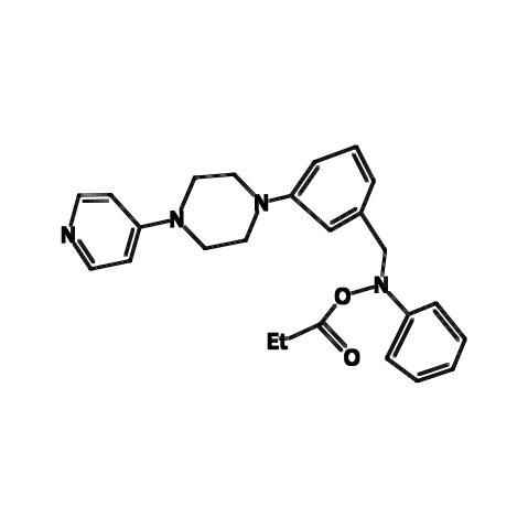 CCC(=O)ON(Cc1cccc(N2CCN(c3ccncc3)CC2)c1)c1ccccc1